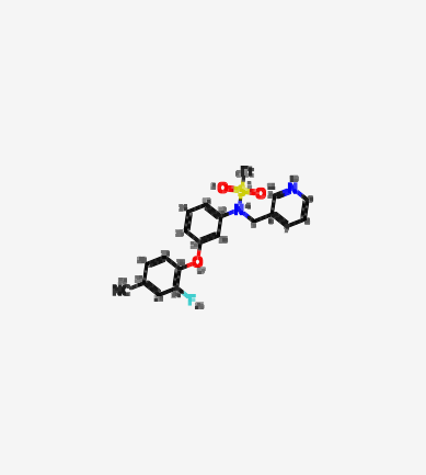 CCS(=O)(=O)N(Cc1cccnc1)c1cccc(Oc2ccc(C#N)cc2F)c1